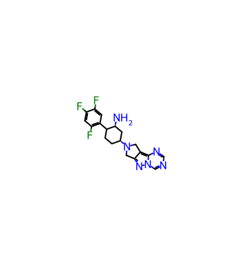 N[C@H]1C[C@@H](N2Cc3nn4cncnc4c3C2)CCC1c1cc(F)c(F)cc1F